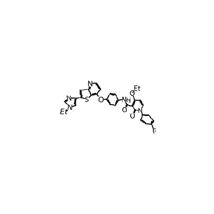 CCOc1ccn(-c2ccc(F)cc2)c(=O)c1C(=O)Nc1ccc(Oc2ccnc3cc(-c4cn(CC)cn4)sc23)cc1